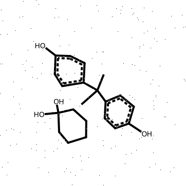 CC(C)(c1ccc(O)cc1)c1ccc(O)cc1.OC1(O)CCCCC1